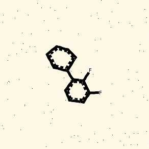 Fc1cccc(-c2ccccc2)c1F